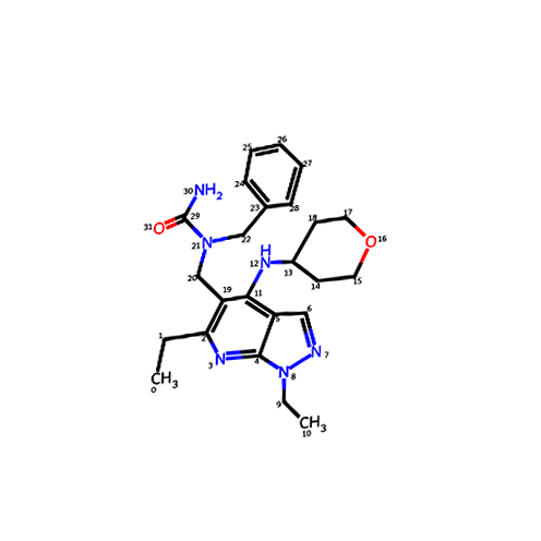 CCc1nc2c(cnn2CC)c(NC2CCOCC2)c1CN(Cc1ccccc1)C(N)=O